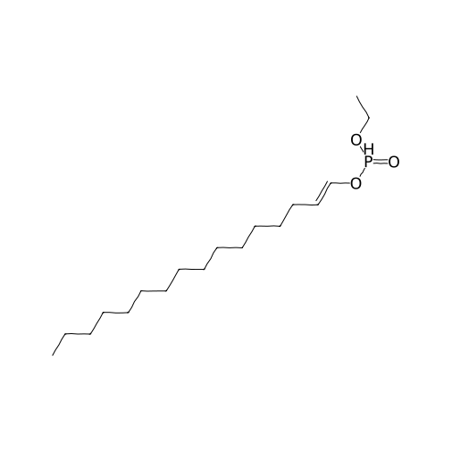 CCCCCCCCCCCCCCC=CO[PH](=O)OCC